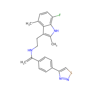 C=C(NCCc1c(C)[nH]c2c(F)ccc(C)c12)c1ccc(-c2csnn2)cc1